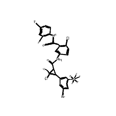 O=C(Nc1ccc(F)cc1F)c1cc(NC(=O)C2C(c3cc(Br)cc(S(F)(F)(F)(F)F)c3)C2(Cl)Cl)ccc1Cl